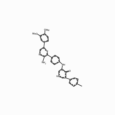 COc1ccc(-c2cnc(N)c(-c3ccc(Nc4c[nH]cc(-c5ccc(C)cc5)c4=O)cc3)n2)cc1OC